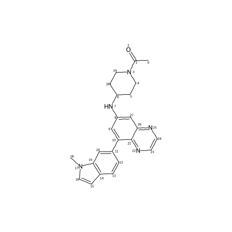 CC(=O)N1CCC(Nc2cc(-c3ccc4ccn(C)c4c3)c3nccnc3c2)CC1